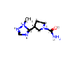 Cn1ncnc1C1CCN(C(N)=O)C1